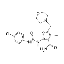 Cc1c(CN2CCOCC2)sc(NC(=O)Nc2ccc(Cl)cc2)c1C(N)=O